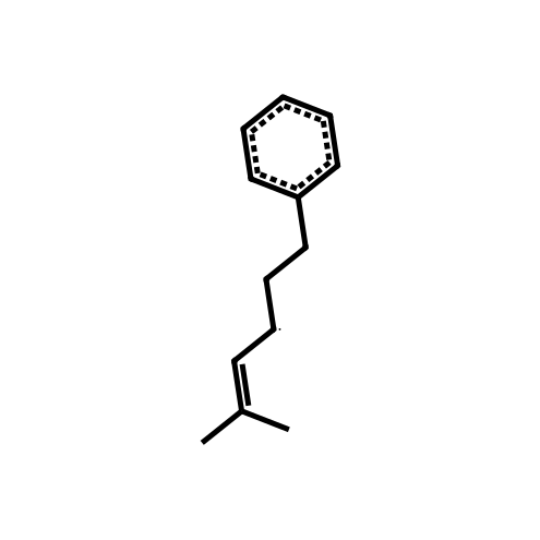 CC(C)=C[CH]CCc1ccccc1